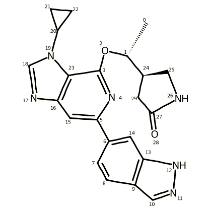 C[C@@H](Oc1nc(-c2ccc3cn[nH]c3c2)cc2ncn(C3CC3)c12)[C@H]1CNC(=O)C1